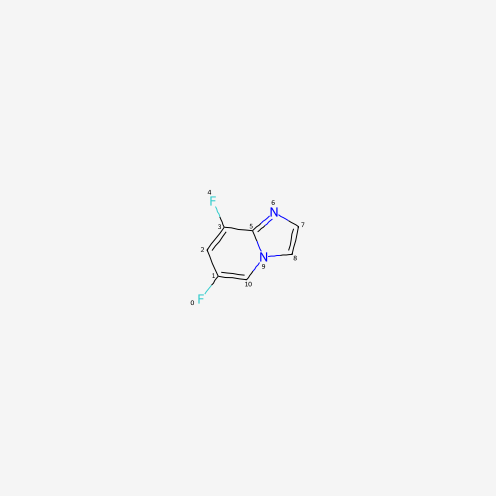 Fc1cc(F)c2nccn2c1